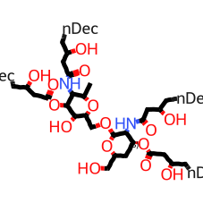 CCCCCCCCCCCC(O)CC(=O)NC1C(C)OC(COC2OC(CO)C[C@H](OC(=O)CC(O)CCCCCCCCCCC)C2NC(=O)CC(O)CCCCCCCCCCC)C(O)C1OC(=O)CC(O)CCCCCCCCCCC